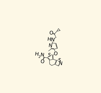 Cc1nc(NCC(=O)C2CC2)ccc1Oc1sc(C(N)=O)c2c1-c1sncc1CC2